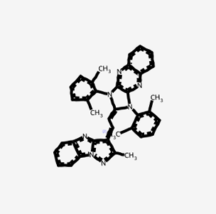 Cc1cccc(C)c1N1C(=C/C=c2/c(C)nn3c2nc2ccccc23)N(c2c(C)cccc2C)c2nc3ccccc3nc21